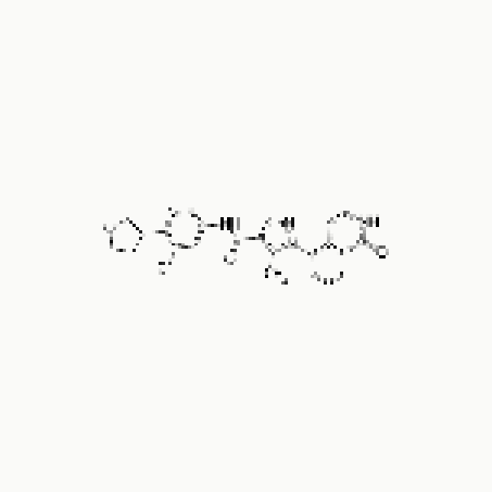 O=C(Nc1cnc(C2CCOC2)c(Cl)c1)c1cnn(-c2cccc3c(=O)[nH]ccc23)c1C(F)(F)F